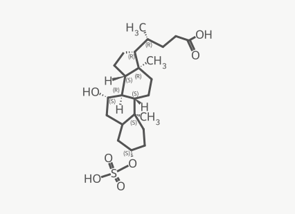 C[C@H](CCC(=O)O)[C@H]1CC[C@H]2[C@@H]3[C@@H](O)CC4C[C@@H](OS(=O)(=O)O)CC[C@]4(C)[C@H]3CC[C@]12C